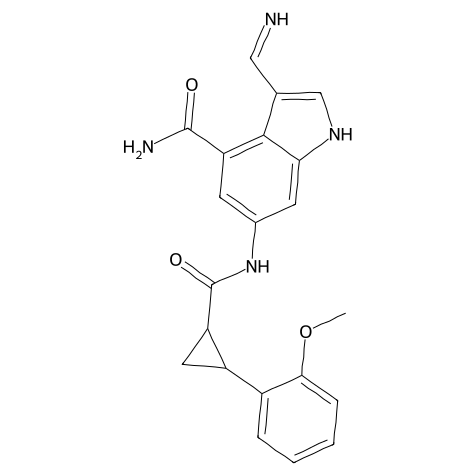 COc1ccccc1C1CC1C(=O)Nc1cc(C(N)=O)c2c(C=N)c[nH]c2c1